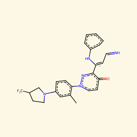 Cc1cc(N2CCC(C(F)(F)F)C2)ccc1-n1ccc(=O)c(/C(=C/C=N)Nc2ccccc2)n1